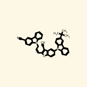 C#Cc1c(/C=C\Cn2c3ccccc3c3cc(C#N)ccc32)oc2ccc(-n3c4ccccc4c4cc(C(C)(C)C)ccc43)cc12